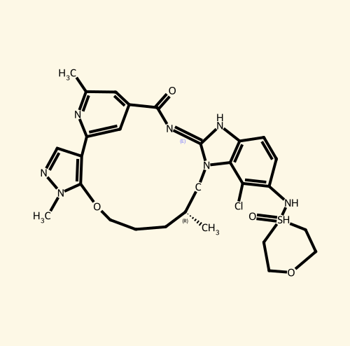 Cc1cc2cc(n1)-c1cnn(C)c1OCCC[C@@H](C)CN1/C(=N/C2=O)Nc2ccc(N[SH]3(=O)CCOCC3)c(Cl)c21